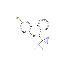 FC(F)(F)C1(C(=Cc2ccc(Br)cc2)c2ccccc2)N=N1